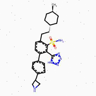 C[C@H]1CC[C@H](CCc2ccc(-c3ccc(C4CNC4)cc3)c(-c3nnn[nH]3)c2S(N)(=O)=O)CC1